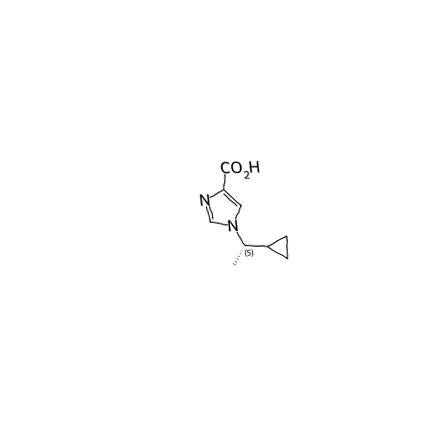 C[C@@H](C1CC1)n1cnc(C(=O)O)c1